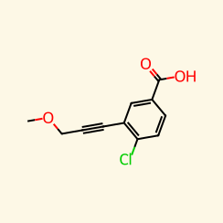 COCC#Cc1cc(C(=O)O)ccc1Cl